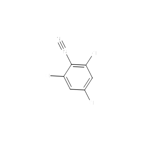 N#[N+]c1c(Cl)cc(Cl)cc1Cl